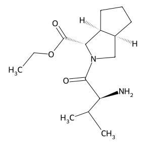 CCOC(=O)[C@@H]1[C@H]2CCC[C@H]2CN1C(=O)[C@@H](N)C(C)C